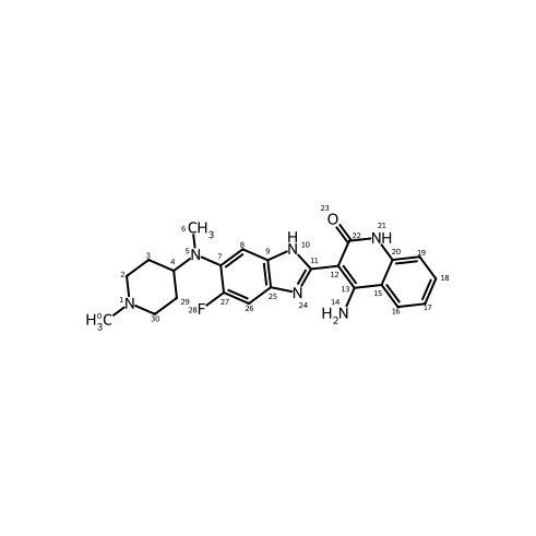 CN1CCC(N(C)c2cc3[nH]c(-c4c(N)c5ccccc5[nH]c4=O)nc3cc2F)CC1